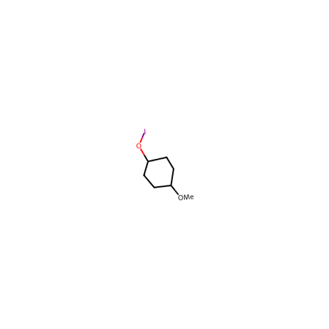 COC1CCC(OI)CC1